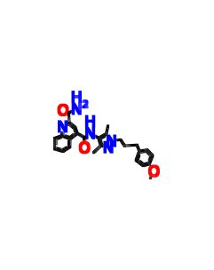 COc1ccc(CCCn2nc(C)c(NC(=O)c3cc(C(N)=O)nc4ccccc34)c2C)cc1